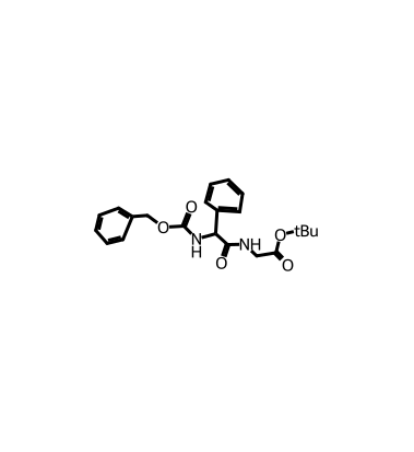 CC(C)(C)OC(=O)CNC(=O)C(NC(=O)OCc1ccccc1)c1ccccc1